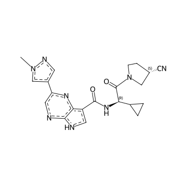 Cn1cc(-c2cnc3[nH]cc(C(=O)N[C@@H](C(=O)N4CC[C@H](C#N)C4)C4CC4)c3n2)cn1